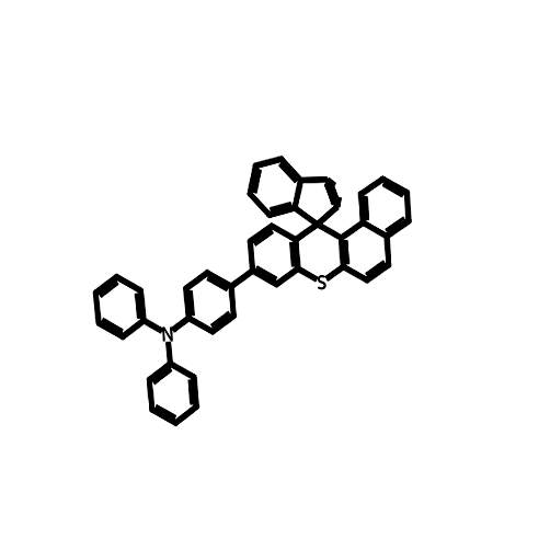 c1ccc(N(c2ccccc2)c2ccc(-c3ccc4c(c3)Sc3ccc5ccccc5c3C43c4ccccc4-c4ccccc43)cc2)cc1